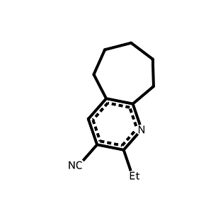 CCc1nc2c(cc1C#N)CCCCC2